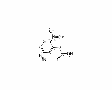 N#N.O=C(O)Cc1ccccc1[N+](=O)[O-]